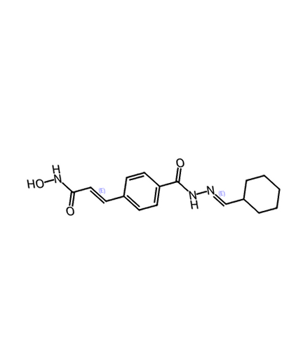 O=C(/C=C/c1ccc(C(=O)N/N=C/C2CCCCC2)cc1)NO